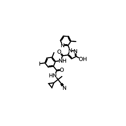 Cc1cccnc1-n1nc(O)cc1C(=O)Nc1c(C)cc(I)cc1C(=O)NC(C)(C#N)C1CC1